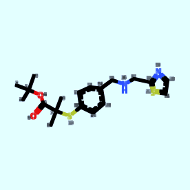 CC(C)(C)OC(=O)C(C)(C)Sc1ccc(CNCc2nccs2)cc1